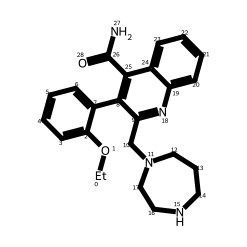 CCOc1ccccc1-c1c(CN2CCCNCC2)nc2ccccc2c1C(N)=O